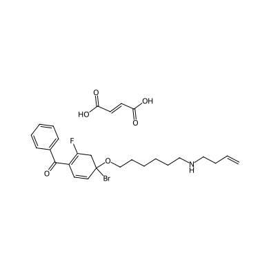 C=CCCNCCCCCCOC1(Br)C=CC(C(=O)c2ccccc2)=C(F)C1.O=C(O)C=CC(=O)O